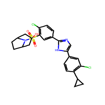 O=S(=O)(c1cc(-c2ncc(-c3ccc(C4CC4)c(Cl)c3)[nH]2)ccc1Cl)N1C2CCC1CC(O)C2